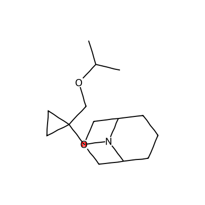 CC(C)OCC1(CN2C3CCCC2COC3)CC1